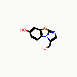 OCc1cnc2sc3cc(O)ccc3n12